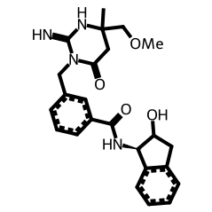 COCC1(C)CC(=O)N(Cc2cccc(C(=O)N[C@@H]3c4ccccc4CC3O)c2)C(=N)N1